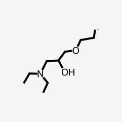 [CH2]CCOCC(O)CN(CC)CC